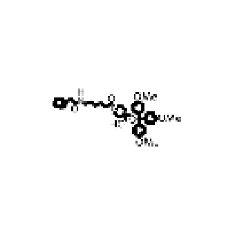 COc1ccc(C(OCC2(CO)CCN(C(=O)CCCCCNC(=O)CC3CC4C=CC3C4)CC2)(c2ccc(OC)cc2)c2ccc(OC)cc2)cc1